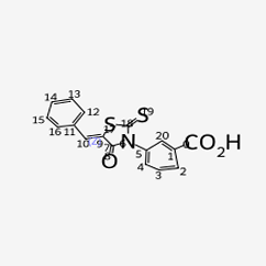 O=C(O)c1cccc(N2C(=O)/C(=C/c3ccccc3)SC2=S)c1